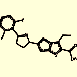 CCc1c(C(=O)O)sc2cc(C3CCC(c4c(F)cccc4F)=N3)sc12